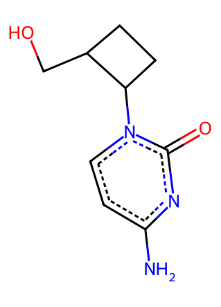 Nc1ccn(C2CCC2CO)c(=O)n1